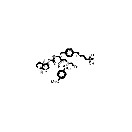 COc1ccc(S(=O)(=O)N(CC(C)C)C[C@@H](O)[C@H](Cc2ccc(CNCCP(=O)(O)O)cc2)NC(=O)O[C@H]2CO[C@H]3OCC[C@H]32)cc1